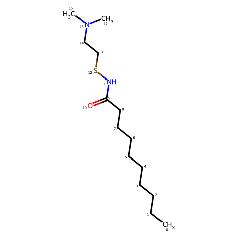 CCCCCCCCCC(=O)NSCCN(C)C